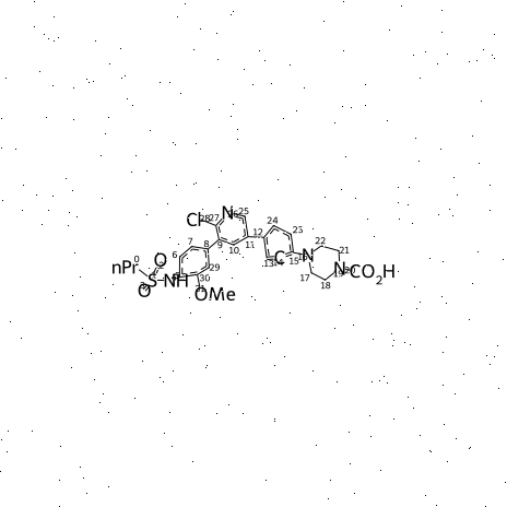 CCCS(=O)(=O)Nc1ccc(-c2cc(-c3ccc(N4CCN(C(=O)O)CC4)cc3)cnc2Cl)cc1OC